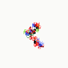 CCOC(=O)C(Cl)Cc1cc(-n2nc(C)n(C(F)F)c2=O)c(F)cc1Cl.CCOC(=O)C1=NOC(c2ccccc2)(c2ccccc2)C1.COC(=O)c1ccc(CNS(C)(=O)=O)cc1S(=O)(=O)NC(=O)Nc1nc(OC)cc(OC)n1.Cc1nn(C)c(O)c1C(=O)c1ccc(C(F)(F)F)cc1S(C)(=O)=O